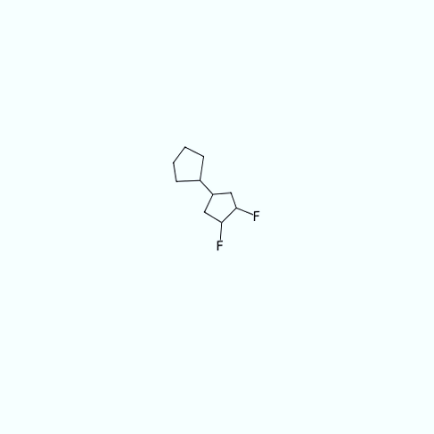 FC1CC(C2CCCC2)CC1F